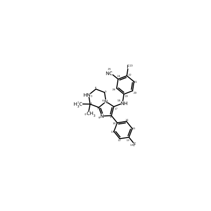 CC1(C)NCCn2c1nc(-c1ccc(F)cc1)c2Nc1ccc(F)c(C#N)c1